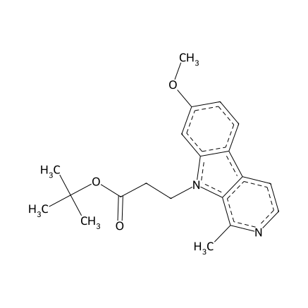 COc1ccc2c3ccnc(C)c3n(CCC(=O)OC(C)(C)C)c2c1